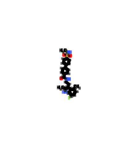 CNS(=O)(=O)c1ccc(-c2ccc(C(=O)NCCc3c(C)[nH]c4c(F)ccc(C)c34)cc2)cc1